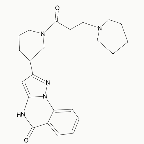 O=C(CCN1CCCCC1)N1CCCC(c2cc3[nH]c(=O)c4ccccc4n3n2)C1